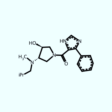 CC(C)CN(C)[C@H]1CN(C(=O)c2[nH]cnc2-c2ccccc2)C[C@@H]1O